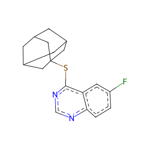 Fc1ccc2ncnc(SC34CC5CC(CC(C5)C3)C4)c2c1